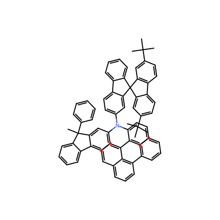 CC(C)(C)c1ccc2c(c1)C1(c3ccccc3-c3ccc(N(c4ccc5c(c4)C(C)(c4ccccc4)c4ccccc4-5)c4ccccc4-c4cccc5cccc(-c6ccccc6)c45)cc31)c1cc(C(C)(C)C)ccc1-2